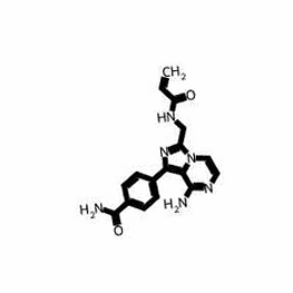 C=CC(=O)NCc1nc(-c2ccc(C(N)=O)cc2)c2c(N)nccn12